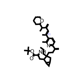 C=C(CCC1(CCC)CC2CC2C1CC(=N)C(=O)OC(C)(C)C)c1ccc(/C(C)=C/C(=C)C(C)C2CCCCO2)c(C)n1